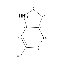 CC1=CC2NCCC2CC1